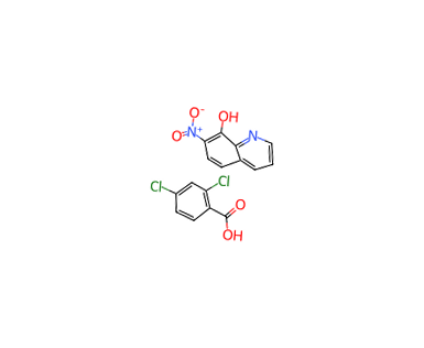 O=C(O)c1ccc(Cl)cc1Cl.O=[N+]([O-])c1ccc2cccnc2c1O